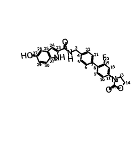 O=C(NCc1ccc(-c2ccc(N3CCOC3=O)cc2F)cc1)c1cc2cc(O)ccc2[nH]1